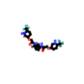 O=C(COC1CCC(C(F)(F)F)NC1)N[C@H]1CC2(NC(=O)COC3CCC(C(F)(F)F)NC3)CC1C2